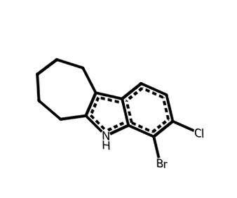 Clc1ccc2c3c([nH]c2c1Br)CCCCC3